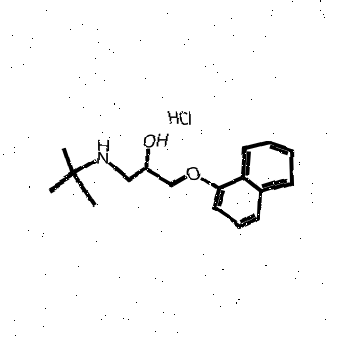 CC(C)(C)NCC(O)COc1cccc2ccccc12.Cl